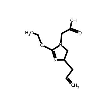 C=CCC1CN(CC(=O)O)C(OCC)=N1